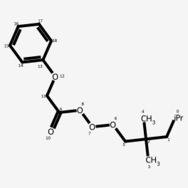 CC(C)CC(C)(C)COOOC(=O)COc1ccccc1